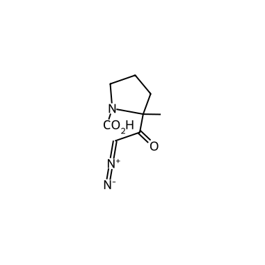 CC1(C(=O)C=[N+]=[N-])CCCN1C(=O)O